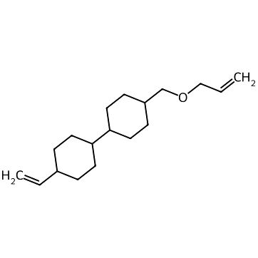 C=CCOCC1CCC(C2CCC(C=C)CC2)CC1